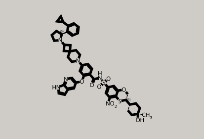 C[C@]1(O)CC[C@H]([C@H]2COc3cc(S(=O)(=O)NC(=O)c4ccc(N5CCC6(CC5)CC(N5CCC[C@H]5c5ccccc5C5CC5)C6)cc4Oc4cnc5[nH]ccc5c4)cc([N+](=O)[O-])c3S2)CC1